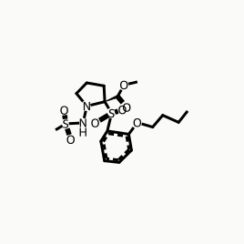 CCCCOc1ccccc1S(=O)(=O)[C@@]1(C(=O)OC)CCCN1NS(C)(=O)=O